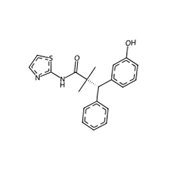 CC(C)(C(=O)Nc1nccs1)[C@@H](c1ccccc1)c1cccc(O)c1